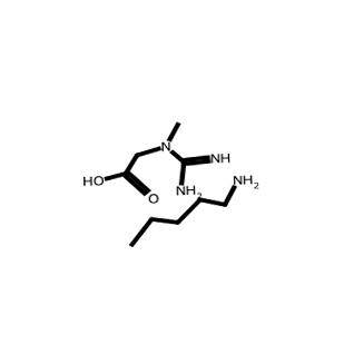 CCCCCN.CN(CC(=O)O)C(=N)N